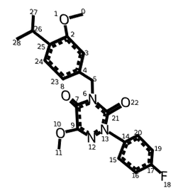 COc1cc(Cn2c(=O)c(OC)nn(-c3ccc(F)cc3)c2=O)ccc1C(C)C